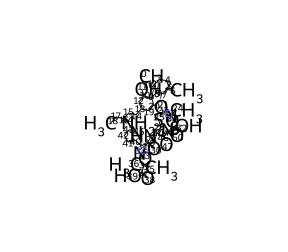 C=C[C@@H]1CCC(C)=C[C@H]1c1c(O)cc(CCCCC)cc1O/C(=N\C)SC1[C@H](NC(=O)/C(=N\OC(C)(C)C(=O)O)C2=CCC(N)=N2)C(=O)N1S(=O)(=O)O